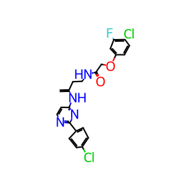 C=C(CCNC(=O)COc1ccc(Cl)c(F)c1)Nc1ccnc(-c2ccc(Cl)cc2)n1